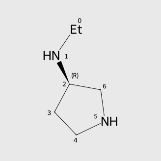 CCN[C@@H]1CCNC1